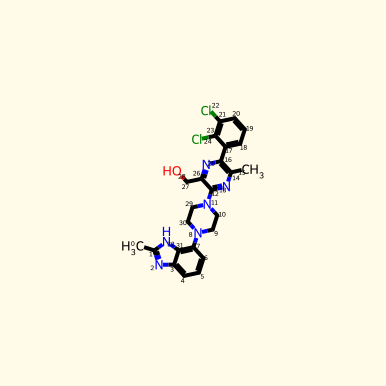 Cc1nc2cccc(N3CCN(c4nc(C)c(-c5cccc(Cl)c5Cl)nc4CO)CC3)c2[nH]1